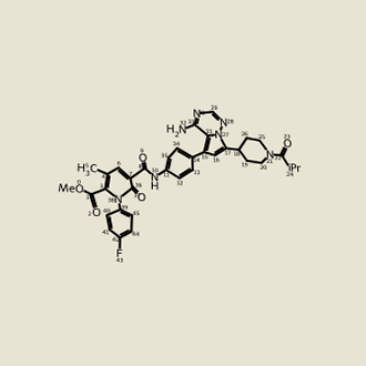 COC(=O)c1c(C)cc(C(=O)Nc2ccc(-c3cc(C4CCN(C(=O)C(C)C)CC4)n4ncnc(N)c34)cc2)c(=O)n1-c1ccc(F)cc1